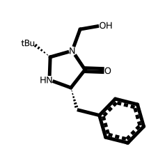 CC(C)(C)[C@H]1N[C@@H](Cc2ccccc2)C(=O)N1CO